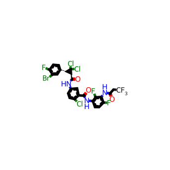 O=C(CC(F)(F)F)Nc1c(F)ccc(NC(=O)c2cc(NC(=O)[C@H]3[C@H](c4ccc(F)c(Br)c4)C3(Cl)Cl)ccc2Cl)c1F